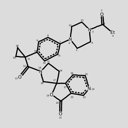 CCC(=O)N1CCN(c2ccc(C3(C(=O)N4CCC5(C4)OC(=O)c4cnccc45)CC3)cc2)CC1